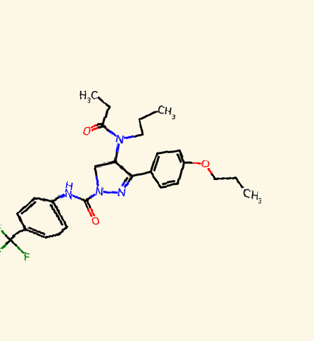 CCCOc1ccc(C2=NN(C(=O)Nc3ccc(C(F)(F)F)cc3)CC2N(CCC)C(=O)CC)cc1